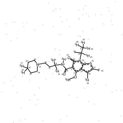 [2H]Oc1c(C(=O)N([2H])C([2H])([2H])CCN2CCC([2H])([2H])CC2)c(=O)n(C([2H])(C)C([2H])([2H])[2H])c2sc(F)c([2H])c12